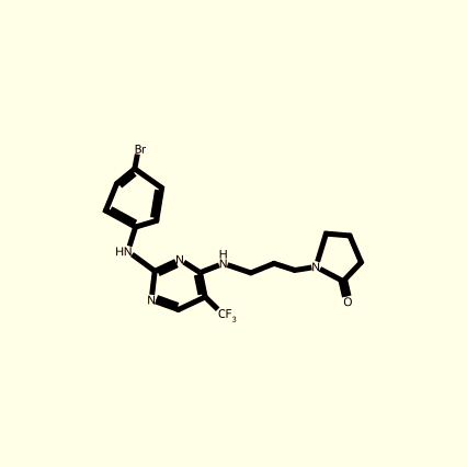 O=C1CCCN1CCCNc1nc(Nc2ccc(Br)cc2)ncc1C(F)(F)F